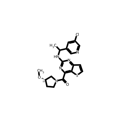 CO[C@H]1CCN(C(=O)c2nc(NC(C)c3cncc(Cl)c3)nc3ccsc23)C1